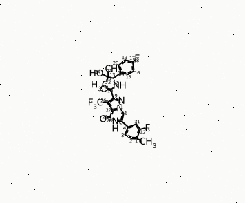 Cc1ccc(-c2cn3nc(C(=O)N[C@@H](c4ccc(F)cc4)C(C)(C)O)c(C(F)(F)F)c3c(=O)[nH]2)cc1F